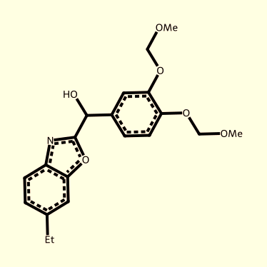 CCc1ccc2nc(C(O)c3ccc(OCOC)c(OCOC)c3)oc2c1